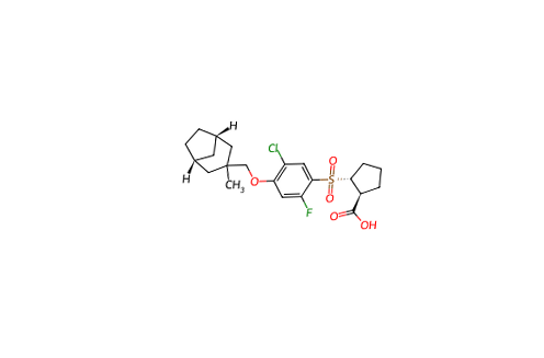 CC1(COc2cc(F)c(S(=O)(=O)[C@@H]3CCC[C@H]3C(=O)O)cc2Cl)C[C@@H]2CC[C@@H](C2)C1